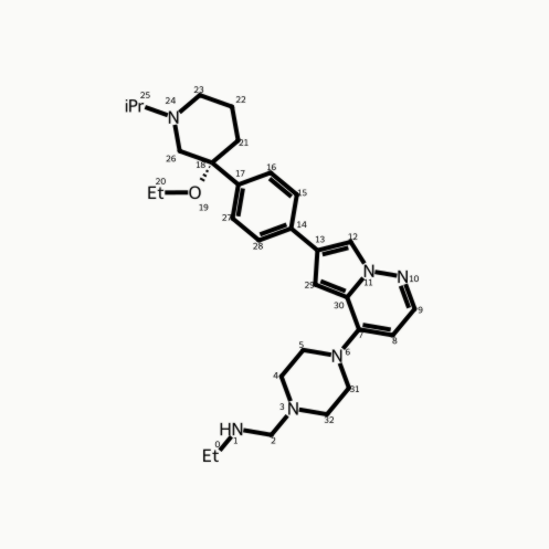 CCNCN1CCN(c2ccnn3cc(-c4ccc([C@]5(OCC)CCCN(C(C)C)C5)cc4)cc23)CC1